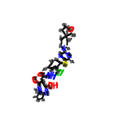 C[C@H]1CC2(CCN(c3cnc(Sc4cccc(NC(=O)c5c(O)nc6n(c5=O)CCCC6)c4Cl)cn3)CC2)CO1